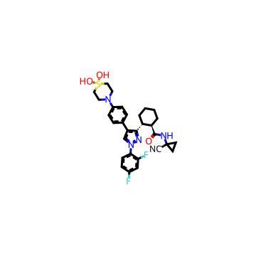 N#CC1(NC(=O)[C@@H]2CCCC[C@H]2c2nn(-c3ccc(F)cc3F)cc2-c2ccc(N3CCS(O)(O)CC3)cc2)CC1